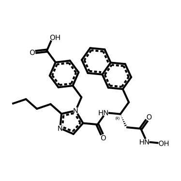 CCCCc1ncc(C(=O)N[C@@H](CC(=O)NO)Cc2ccc3ccccc3c2)n1Cc1ccc(C(=O)O)cc1